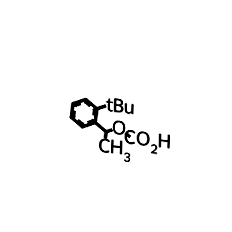 CC(OC(=O)O)c1ccccc1C(C)(C)C